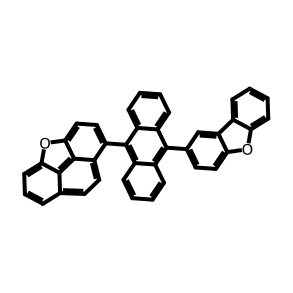 c1ccc2c(c1)oc1ccc(-c3c4ccccc4c(-c4ccc5oc6cccc7ccc4c5c76)c4ccccc34)cc12